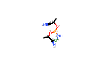 CC(C#N)OP(NCl)OC(C)C#N